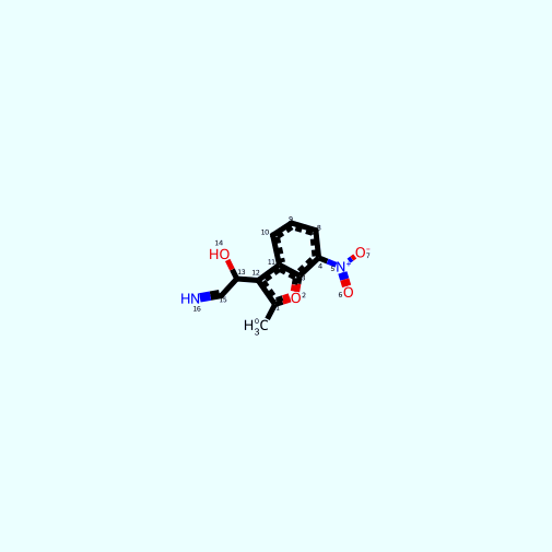 Cc1oc2c([N+](=O)[O-])cccc2c1C(O)C=N